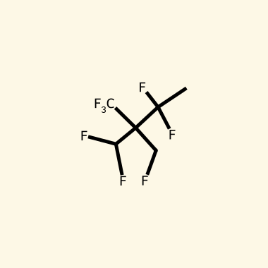 CC(F)(F)C(CF)(C(F)F)C(F)(F)F